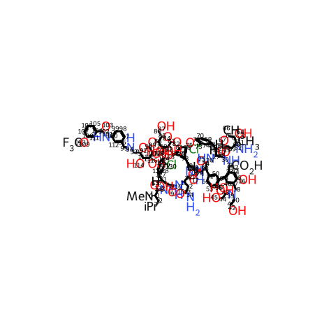 CN[C@H](CC(C)C)C(=O)NC1C(=O)NC(CC(N)=O)C(=O)N[C@H]2C(=O)N[C@H]3C(=O)N[C@H](C(=O)NC(C(=O)O)c4cc(O)c(CN(CCO)CCO)c(O)c4-c4cc3ccc4O)[C@H](O[C@H]3C[C@](C)(N)[C@@H](O)[C@H](C)O3)c3ccc(c(Cl)c3)Oc3cc2cc(c3O[C@@H]2O[C@H](CO)[C@@H](O[C@@H]3O[C@H](CNCc4cccc(NC(=O)c5cccc(OC(F)(F)F)c5)c4)[C@H](O)[C@H](O)[C@H]3O)[C@H](O)[C@H]2O)Oc2ccc(cc2Cl)[C@H]1O